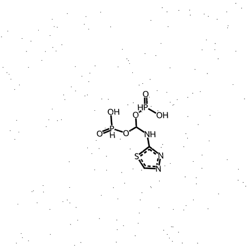 O=[PH](O)OC(Nc1nncs1)O[PH](=O)O